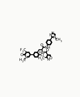 Cc1nocc1C(=O)NC(Cc1cc(-c2cc(C(F)(F)F)c(=O)n(C)c2)ccc1Cl)C(=O)Nc1ccc(-c2nncn2C)cc1